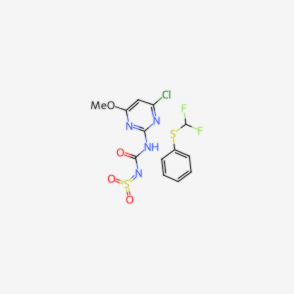 COc1cc(Cl)nc(NC(=O)N=S(=O)=O)n1.FC(F)Sc1ccccc1